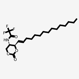 CCCCCCCCCCCCC/C=C/[C@H]1OC(=O)OC[C@@H]1NC(=O)C(F)(F)F